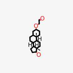 C[C@]12CC[C@H](OCC=O)CC1CC[C@@H]1[C@@H]2CC[C@]2(C)C(=O)CC[C@@H]12